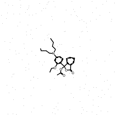 CCCCN(CCCC)c1ccc(C2(OC(C)=O)OC(=O)c3ccccc32)c(OCC)c1